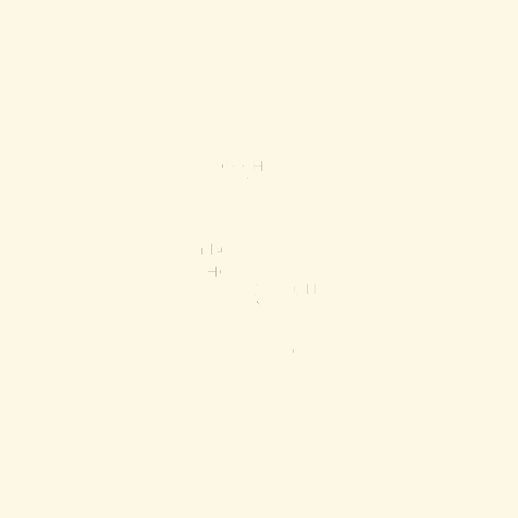 C/C=C(\CCCC(=O)O)C(C)(CCCC)C(O)/C=C/[C@@H]1CC(=O)CC1O